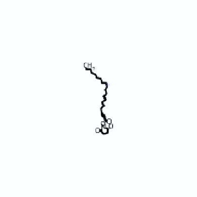 CCCCCCCC/C=C\CCCCCCCC#CC(=O)ON1C(=O)CCC1=O